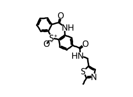 Cc1ncc(CNC(=O)c2ccc3c(c2)NC(=O)c2ccccc2[S+]3[O-])s1